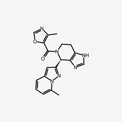 Cc1ncoc1C(=O)N1CCc2[nH]cnc2[C@H]1c1cc2cccc(C)n2n1